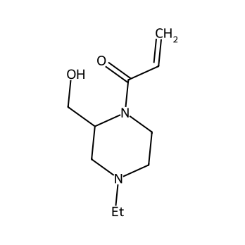 C=CC(=O)N1CCN(CC)CC1CO